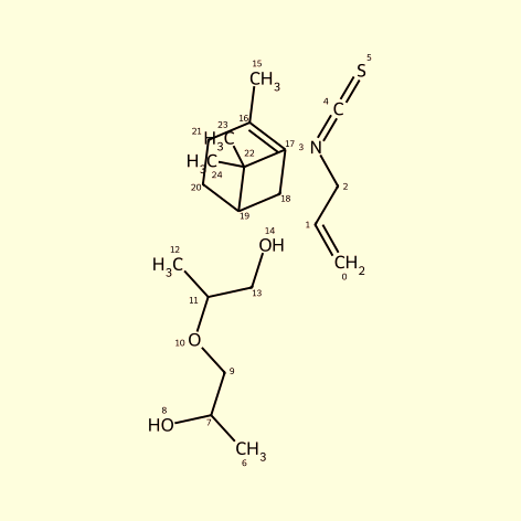 C=CCN=C=S.CC(O)COC(C)CO.CC1=C2CC(CC1)C2(C)C